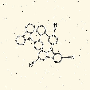 N#Cc1ccc2c(c1)c1ccc(C#N)cc1n2-c1ccc(C#N)c(-c2ccccc2-c2ccccc2-n2c3ccccc3c3ccccc32)c1